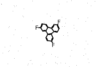 Fc1ccc2c(c1)c1ccc(F)cc1c1ccc(F)cc21